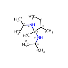 CCC(C)[Si](C)(NC(C)C)NC(C)C